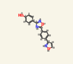 Oc1ccc(-c2noc(-c3ccc(-c4ccon4)cc3)n2)cc1